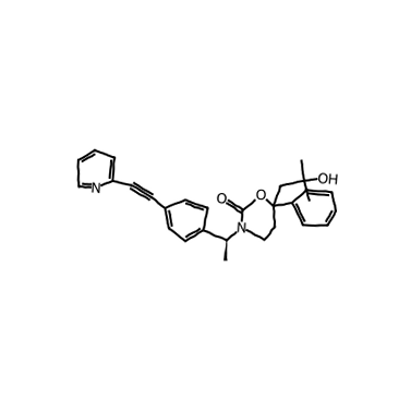 C[C@@H](c1ccc(C#Cc2ccccn2)cc1)N1CCC(CC(C)(C)O)(c2ccccc2)OC1=O